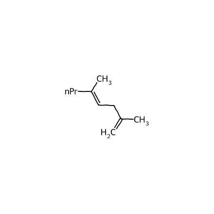 C=C(C)C/C=C(\C)CCC